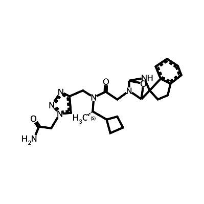 C[C@@H](C1CCC1)N(Cc1cn(CC(N)=O)nn1)C(=O)CN1C2NC3(CCc4ccccc43)C1O2